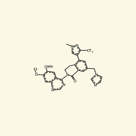 CCOc1cc2ncnc(N3CCc4c(cc(Cn5ccnc5)cc4-c4cn(C)nc4C(F)(F)F)C3=O)c2cc1OC